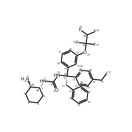 N[C@@H]1CCCC[C@H]1NC(=O)N[C@@](Cc1ccccc1)(c1cccc(OC(F)(F)C(F)F)c1)c1ccc(CI)cn1